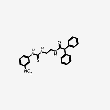 O=C(NCCNC(=S)Nc1cccc([N+](=O)[O-])c1)C(c1ccccc1)c1ccccc1